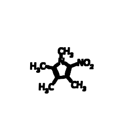 Cc1c(C)c([N+](=O)[O-])n(C)c1C